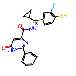 O=C(N[C@@H](c1ccc(S)c(F)c1)C1CC1)c1cc(=O)[nH]c(-c2ccccc2)n1